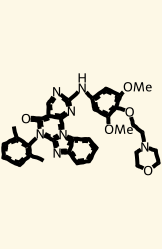 COc1cc(Nc2ncc3c(=O)n(-c4c(C)cccc4C)c4nc5ccccc5n4c3n2)cc(OC)c1OCCN1CCOCC1